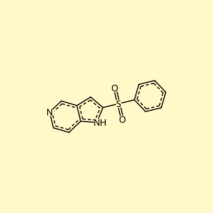 O=S(=O)(c1ccccc1)c1cc2cnccc2[nH]1